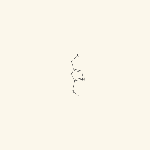 CN(C)c1ncc(CCl)s1